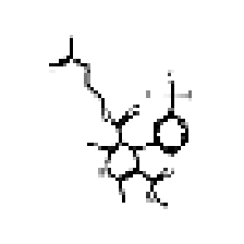 COC(=O)C1=C(C)NC(C)=C(C(=O)OCCSC(C)=O)C1c1cccc(C(F)(F)F)c1